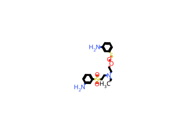 CCN(CCOOSc1cccc(N)c1)CCS(=O)(=O)c1cccc(N)c1